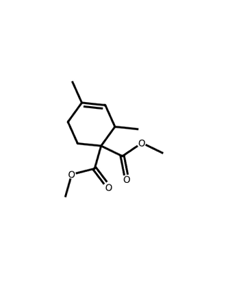 COC(=O)C1(C(=O)OC)CCC(C)=CC1C